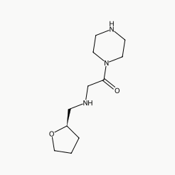 O=C(CNC[C@H]1CCCO1)N1CCNCC1